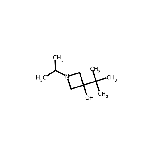 CC(C)N1CC(O)(C(C)(C)C)C1